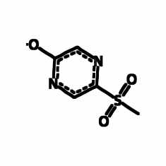 CS(=O)(=O)c1cnc([O])cn1